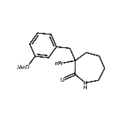 CCCC1(Cc2cccc(OC)c2)CCCCNC1=O